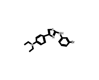 CCN(CC)c1ccc(-c2csc(Nc3cccc(Br)c3)n2)cc1